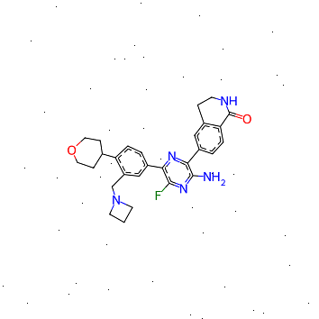 Nc1nc(F)c(-c2ccc(C3CCOCC3)c(CN3CCC3)c2)nc1-c1ccc2c(c1)CCNC2=O